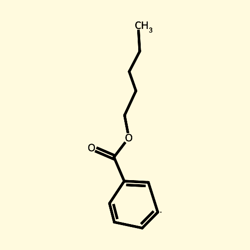 CCCCCOC(=O)c1c[c]ccc1